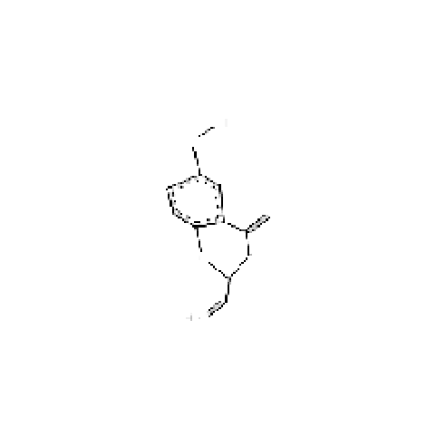 C=CC1CC(=O)c2cc(OC)ccc2O1